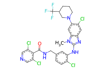 Cn1c(Nc2cc(CNC(=O)c3c(Cl)cncc3Cl)ccc2Cl)nc2cc(Cl)c(N3CCCC(C(F)(F)F)C3)cc21